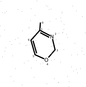 CC1=NCOC=C1